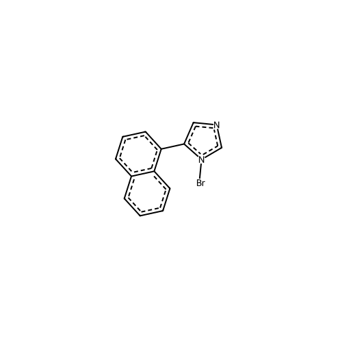 Brn1cncc1-c1cccc2ccccc12